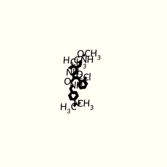 C=C(/C=C(\C(C)=C/N)c1cc(C(=O)NCc2ccc(N(C)C)cc2)c(-c2ccccc2Cl)o1)NC(C)=O